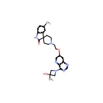 Cc1ccc2c(c1)C1(CCN(CCOc3cnc4c(N5CC(C)(O)C5)ncnc4c3)CC1)C(=O)N2